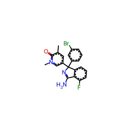 Cc1cc(C2(c3cccc(Br)c3)N=C(N)c3c(F)cccc32)cn(C)c1=O